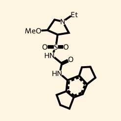 CCN1CC(OC)C(S(=O)(=O)NC(=O)Nc2c3c(cc4c2CCC4)CCC3)C1